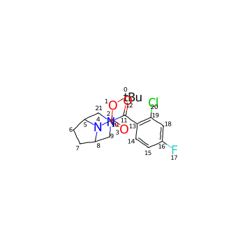 CC(C)(C)OC(=O)N1C2CCC1CN(C(=O)c1ccc(F)cc1Cl)C2